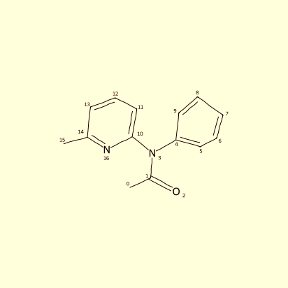 CC(=O)N(c1ccccc1)c1cccc(C)n1